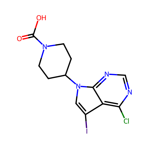 O=C(O)N1CCC(n2cc(I)c3c(Cl)ncnc32)CC1